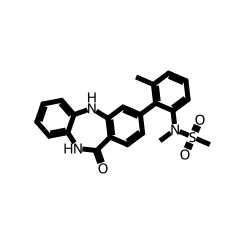 Cc1cccc(N(C)S(C)(=O)=O)c1-c1ccc2c(c1)Nc1ccccc1NC2=O